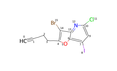 C#CCCc1oc2c(I)cc(Cl)nc2c1Br